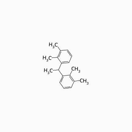 Cc1cccc(C(C)c2cccc(C)c2C)c1C